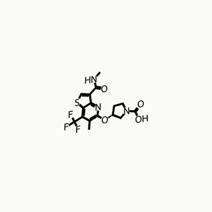 CNC(=O)c1csc2c(C(F)(F)F)c(C)c(O[C@H]3CCN(C(=O)O)C3)nc12